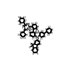 CC1(C)c2ccccc2-c2ccc(N(c3ccc(-c4ccccc4)cc3)c3cccc4c3oc3cccc(C5N=C(c6ccccc6)N=C(c6ccccc6)N5)c34)cc21